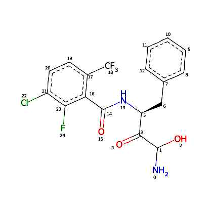 NC(O)C(=O)[C@H](Cc1ccccc1)NC(=O)c1c(C(F)(F)F)ccc(Cl)c1F